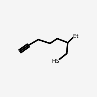 C#CCCCC(CC)CS